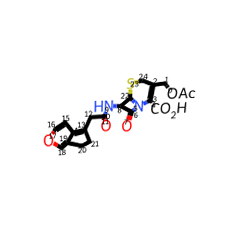 CC(=O)OCC1=C(C(=O)O)N2C(=O)C(NC(=O)CC3=C4C=COC=C4CC3)C2SC1